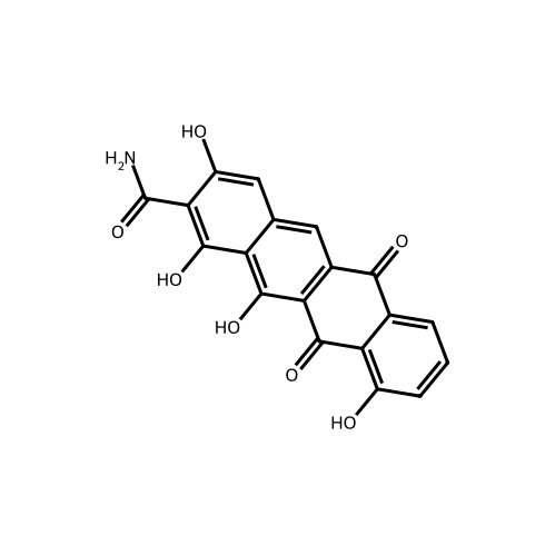 NC(=O)c1c(O)cc2cc3c(c(O)c2c1O)C(=O)c1c(O)cccc1C3=O